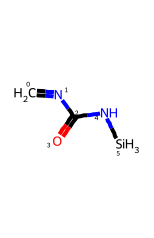 C=NC(=O)N[SiH3]